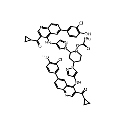 CC(C)(C)C(=O)ON1CCC(n2cc(Nc3c(C(=O)C4CC4)cnc4ccc(-c5ccc(O)c(Cl)c5)cc34)cn2)CC1n1cc(Nc2c(C(=O)C3CC3)cnc3ccc(-c4ccc(O)c(Cl)c4)cc23)cn1